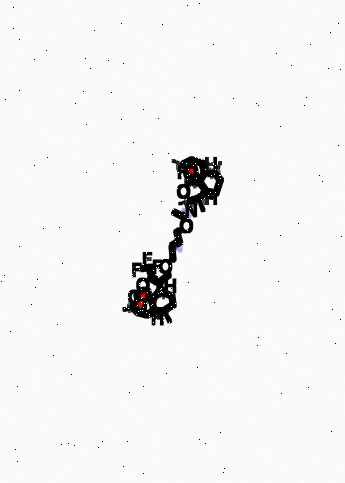 C/C(=N\[C@@]1(C)O[C@@H]2O[C@]3(C)CC[C@H]4[C@H](C)CC[C@@H]([C@H]1C)[C@@]24OO3)OC/C=C/COCC1=C(C(F)(F)F)O[C@@H]2O[C@]3(C)CC[C@H]4[C@H](C)CC[C@@H]1[C@@]24OO3